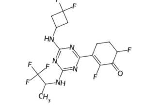 CC(Nc1nc(NC2CC(F)(F)C2)nc(C2=C(F)C(=O)C(F)CC2)n1)C(F)(F)F